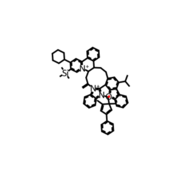 C=C1CC2C(CCc3cc(C(C)C)c4c(oc5ccccc54)c3-c3n(CC4(C)C=C(c5ccccc5)C=C4C)c4ccccc4[n+]31)c1ccccc1-c1cc(C3CCCCC3)c([Si](C)(C)C)c[n+]12